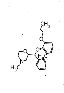 CCCOc1cccc(C)c1OC(c1ccccc1)C1CN(C)CCO1